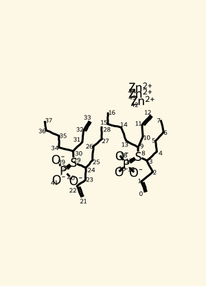 C=CCC(CCCC)S(C(CC=C)CCCC)=P([O-])([O-])[O-].C=CCC(CCCC)S(C(CC=C)CCCC)=P([O-])([O-])[O-].[Zn+2].[Zn+2].[Zn+2]